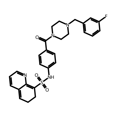 O=C(c1ccc(NS(=O)(=O)C2=c3ncccc3=CCC2)cc1)N1CCN(Cc2cccc(F)c2)CC1